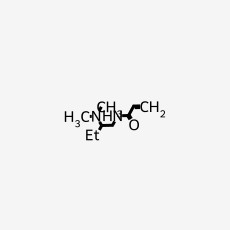 C=CC(=O)NCC(CC)N(C)C